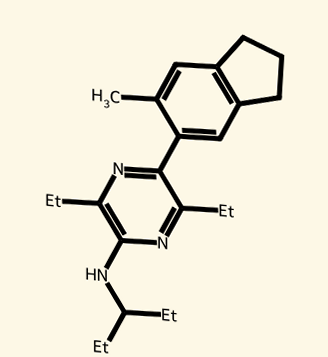 CCc1nc(-c2cc3c(cc2C)CCC3)c(CC)nc1NC(CC)CC